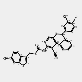 N#Cc1c(NC(=O)OCc2csc3cc(Cl)ccc23)ncc2c1-c1ccccc1C(c1ccc(Cl)c(Cl)c1)C2